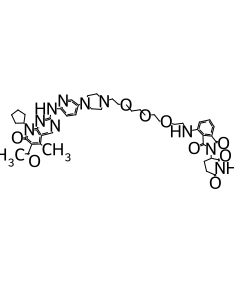 CC(=O)c1c(C)c2cnc(Nc3ccc(N4CCN(CCOCCOCCOCCNc5cccc6c5C(=O)N(C5CCC(=O)NC5=O)C6=O)CC4)cn3)nc2n(C2CCCC2)c1=O